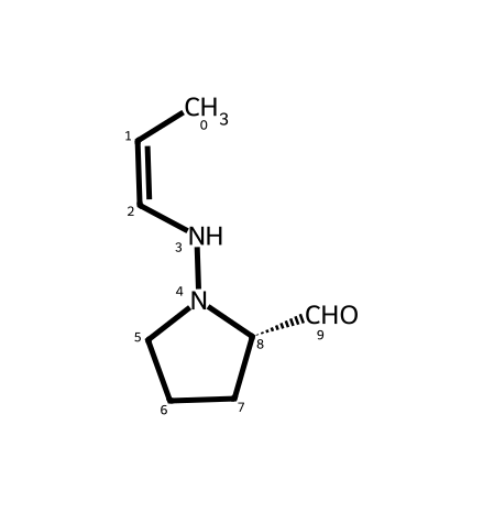 C/C=C\NN1CCC[C@H]1C=O